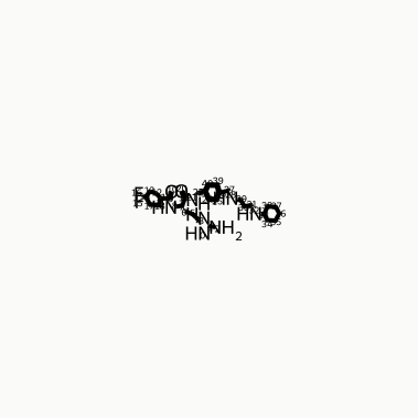 N=C(N)NCCC[C@H](NC(=O)C1CCC(F)(F)CC1)C(=O)NCc1ccc(CNCCCNC2CCCCC2)cc1